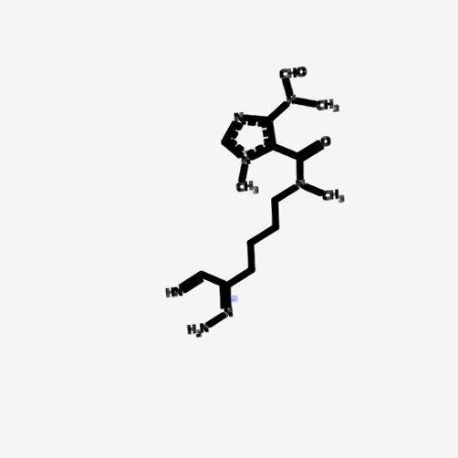 CN(CCCC/C(C=N)=N/N)C(=O)c1c(N(C)C=O)ncn1C